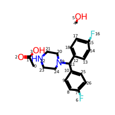 CC(=O)O.CO.Fc1ccc(C(c2ccc(F)cc2)N2CCNCC2)cc1